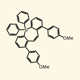 COc1ccc(-c2cccc3c2C=Cc2c(-c4ccc(OC)cc4)cccc2[Si]3(c2ccccc2)c2ccccc2)cc1